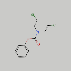 O=C(Oc1ccccc1)N(CCCl)CCCl